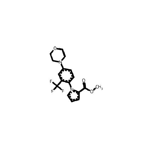 COC(=O)c1cccn1-c1ccc(N2CCOCC2)cc1C(F)(F)F